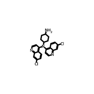 NC1CCC(N(c2ccnc3cc(Cl)ccc23)c2ccnc3cc(Cl)ccc23)CC1